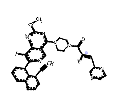 C#Cc1cccc2cccc(-c3ncc4c(N5CCN(C(=O)/C(F)=C/c6cnccn6)CC5)nc(OC)nc4c3F)c12